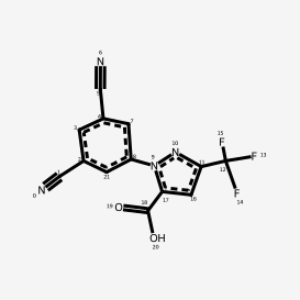 N#Cc1cc(C#N)cc(-n2nc(C(F)(F)F)cc2C(=O)O)c1